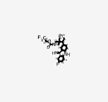 CC(C)CC(c1ccc(Nc2ccc(F)cc2)c(C=N)c1)C(C)(C)CNC(=O)OCC(F)(F)F